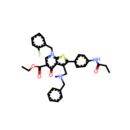 CCOC(=O)c1cn(Cc2ccccc2F)c2sc(-c3ccc(NC(=O)CC)cc3)c(CN(C)Cc3ccccc3)c2c1=O